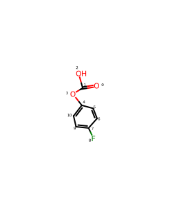 O=C(O)Oc1ccc(F)cc1